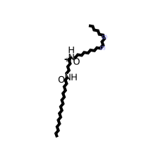 CCCCC/C=C\C/C=C\CCCCCCCC(=O)N[C@H](C)CCCCNC(=O)CCCCCCCCCCCCCCCCC